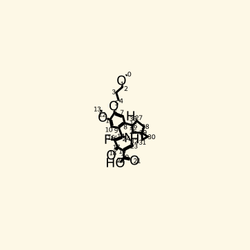 COCCCOc1cc2c(cc1OC)-c1c(F)c(=O)c(C(=O)O)cn1[C@H]1[C@@H]2CCC12CC2